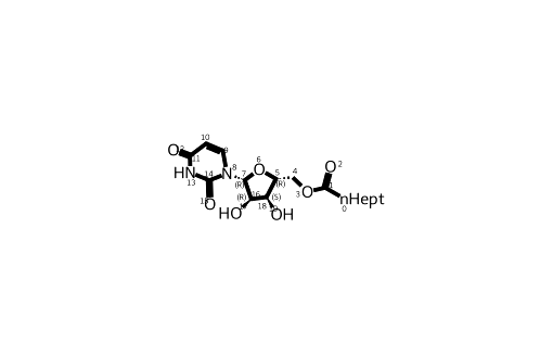 CCCCCCCC(=O)OC[C@H]1O[C@@H](n2ccc(=O)[nH]c2=O)[C@H](O)[C@@H]1O